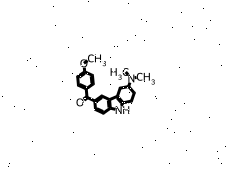 COc1ccc(C(=O)c2ccc3[nH]c4c(c3c2)CC(N(C)C)CC4)cc1